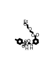 [CH2]COCCOCCOC(=O)c1cccc(NC(=O)NS(=O)(=O)c2ccc(C)cc2)c1